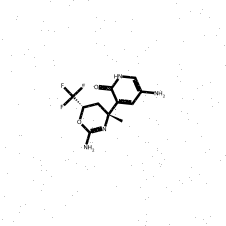 C[C@]1(c2cc(N)c[nH]c2=O)C[C@@H](C(F)(F)F)OC(N)=N1